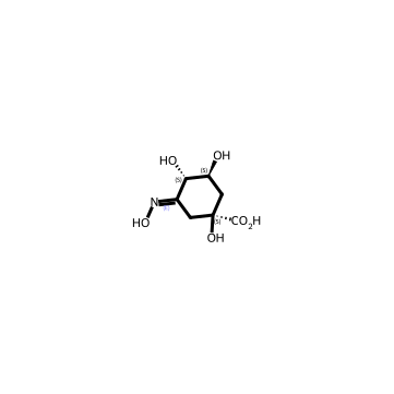 O=C(O)[C@]1(O)C/C(=N\O)[C@H](O)[C@@H](O)C1